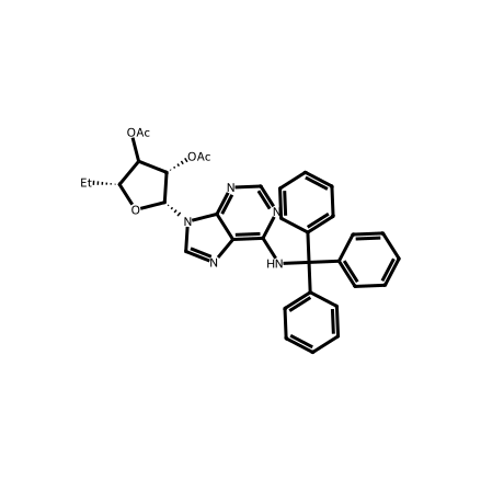 CC[C@H]1O[C@@H](n2cnc3c(NC(c4ccccc4)(c4ccccc4)c4ccccc4)ncnc32)[C@@H](OC(C)=O)C1OC(C)=O